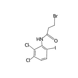 O=C(CCBr)Nc1c(I)ccc(Cl)c1Cl